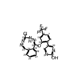 Oc1ncc(-c2ccc(C(F)(F)F)cc2Oc2n[nH]c(Cl)nncc3ccccc23)cn1